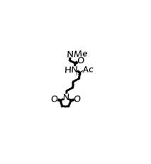 CNCC(=O)N[C@@H](CCCCN1C(=O)CCC1=O)C(C)=O